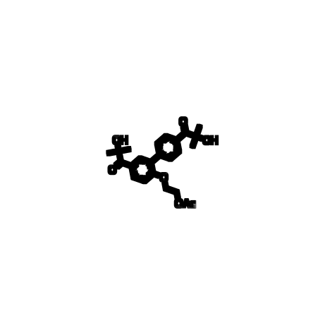 CC(=O)OCCOc1ccc(C(=O)C(C)(C)O)cc1-c1ccc(C(=O)C(C)(C)O)cc1